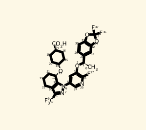 C[C@H](Oc1cc(-n2nc(C(F)(F)F)c3c2[C@@H](O[C@H]2CC[C@H](C(=O)O)CC2)CCC3)cnc1F)c1ccc2c(c1)OC(F)(F)O2